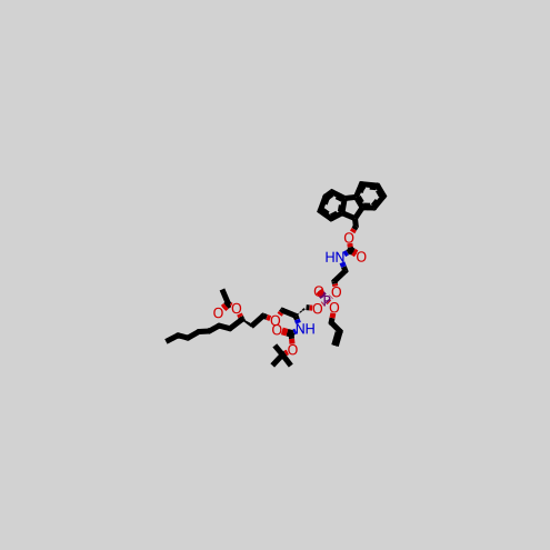 C=CCOP(=O)(OCCNC(=O)OCC1c2ccccc2-c2ccccc21)OC[C@@H](COCC[C@@H](CCCCCCC)OC(C)=O)NC(=O)OC(C)(C)C